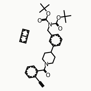 C#Cc1ccccc1C(=O)N1CCC(c2cccc(CN(C(=O)OC(C)(C)C)C(=O)OC(C)(C)C)c2)CC1.c1cc2ccc1-2